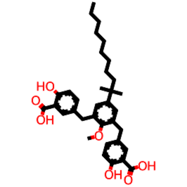 CCCCCCCCCC(C)(C)c1cc(Cc2ccc(O)c(C(=O)O)c2)c(OC)c(Cc2ccc(O)c(C(=O)O)c2)c1